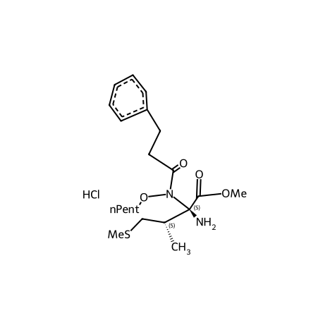 CCCCCON(C(=O)CCc1ccccc1)[C@](N)(C(=O)OC)[C@H](C)CSC.Cl